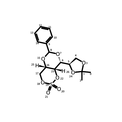 CC1(C)OC[C@H]([C@H]2OC(c3ccccc3)O[C@H]3COS(=O)(=O)O[C@@H]23)O1